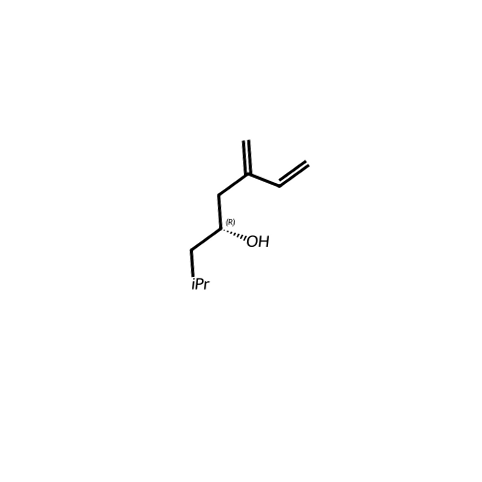 C=CC(=C)C[C@H](O)CC(C)C